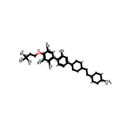 CCc1cc(C2CCC(CCC3CCC(C)CC3)CC2)ccc1-c1cc(CC)c(OCCC(CC)(CC)CC)c(CC)c1CC